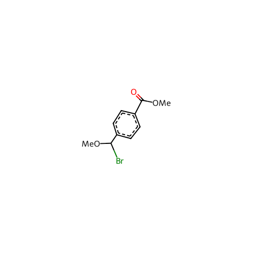 COC(=O)c1ccc(C(Br)OC)cc1